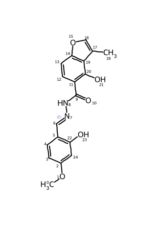 COc1ccc(/C=N/NC(=O)c2ccc3occ(C)c3c2O)c(O)c1